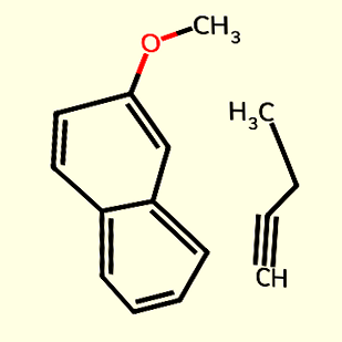 C#CCC.COc1ccc2ccccc2c1